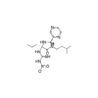 CCC[C@](NC(=N)N[N+](=O)[O-])(NC(=O)c1cnccn1)C(=O)N[CH]CC(C)C